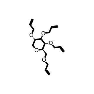 C=CCOC[C@H]1OC[C@H](OCC=C)[C@@H](OCC=C)[C@@H]1OCC=C